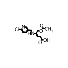 CC(=O)OCC(=CCC(=O)O)NCc1ccc(Cl)nc1